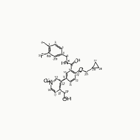 Cc1ccc(CNC(=O)c2cc(-c3c[n+]([O-])ccc3CO)ccc2OCC2CC2)cc1F